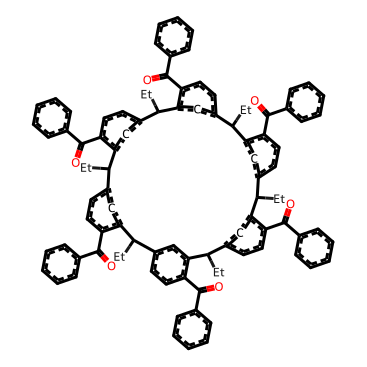 CCC1c2ccc(C(=O)c3ccccc3)c(c2)C(CC)c2ccc(C(=O)c3ccccc3)c(c2)C(CC)c2ccc(C(=O)c3ccccc3)c(c2)C(CC)c2ccc(C(=O)c3ccccc3)c(c2)C(CC)c2ccc(C(=O)c3ccccc3)c(c2)C(CC)c2ccc(C(=O)c3ccccc3)c1c2